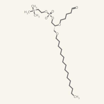 CCCCCCCCCCCCCCCCOC[C@H](COP(=O)([O-])OCC[N+](C)(C)C)OCCCCC=O